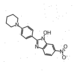 O=[N+]([O-])c1ccc2nc(-c3ccc(N4CCCCC4)cc3)n(O)c2c1